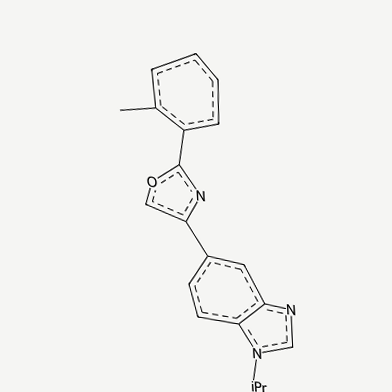 Cc1ccccc1-c1nc(-c2ccc3c(c2)ncn3C(C)C)co1